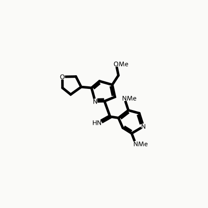 CNc1cc(C(=N)c2cc(COC)cc(C3CCOC3)n2)c(NC)cn1